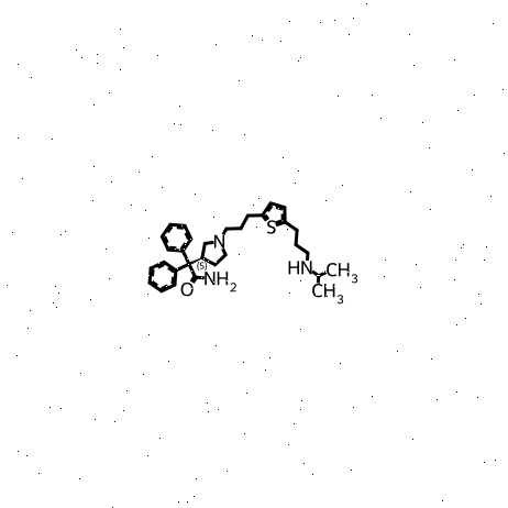 CC(C)NCCCc1ccc(CCCN2CC[C@@H](C(C(N)=O)(c3ccccc3)c3ccccc3)C2)s1